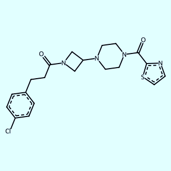 O=C(CCc1ccc(Cl)cc1)N1CC(N2CCN(C(=O)c3nccs3)CC2)C1